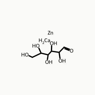 O=CC(O)C(O)C(O)C(O)CO.[CaH2].[Zn]